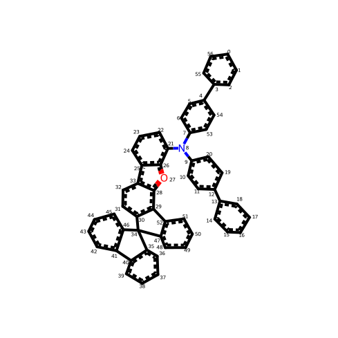 c1ccc(-c2ccc(N(c3ccc(-c4ccccc4)cc3)c3cccc4c3oc3c5c(ccc34)C3(c4ccccc4-c4ccccc43)c3ccccc3-5)cc2)cc1